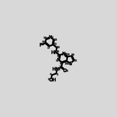 O=C(NCCO)c1nc(NCc2cncc(F)c2)nc2ccsc12